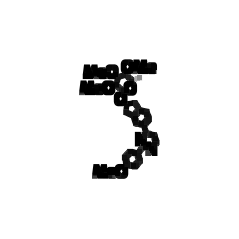 COc1ccc(-c2nccc(-c3ccc4c(c3)CC(O[C@@H]3O[C@@H](C)[C@H](OC)[C@H](OC)[C@@H]3OC)C4)n2)cc1